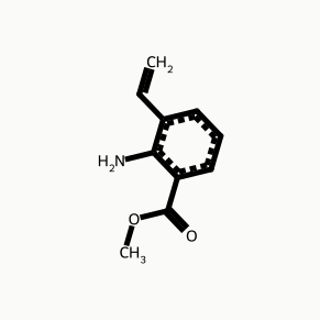 C=Cc1cccc(C(=O)OC)c1N